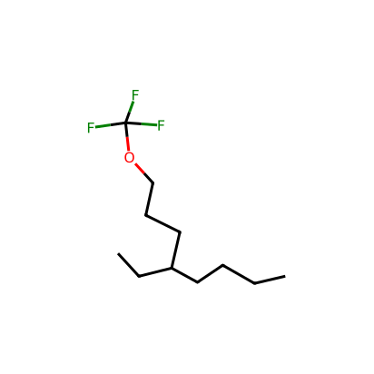 CCCCC(CC)CCCOC(F)(F)F